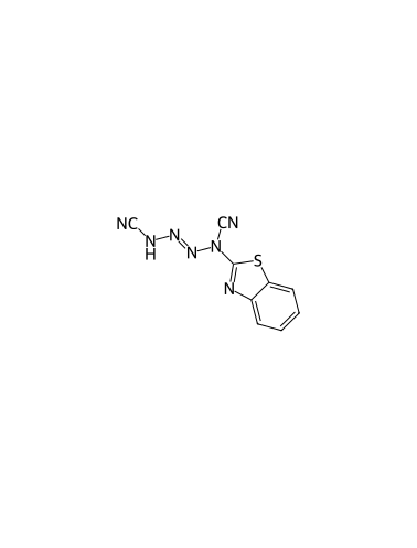 N#CNN=NN(C#N)c1nc2ccccc2s1